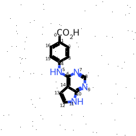 O=C(O)c1ccc(Nc2ncnc3[nH]ccc23)cc1